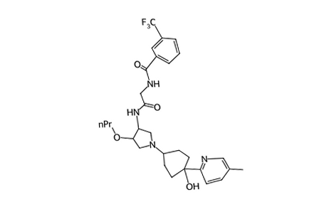 CCCOC1CN(C2CCC(O)(c3ccc(C)cn3)CC2)CC1NC(=O)CNC(=O)c1cccc(C(F)(F)F)c1